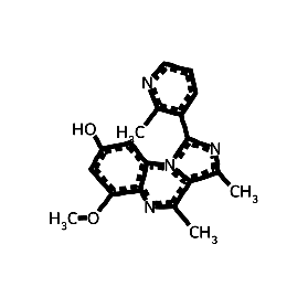 COc1cc(O)cc2c1nc(C)c1c(C)nc(-c3cccnc3C)n12